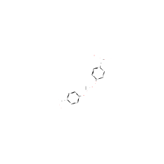 OB(O)c1ccc(OBOc2ccc(B(O)O)cc2)cc1